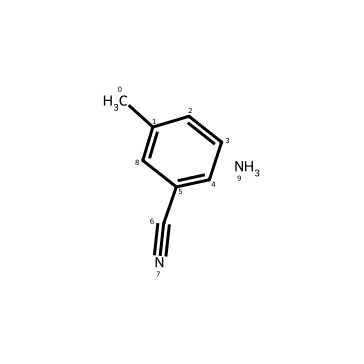 Cc1cccc(C#N)c1.N